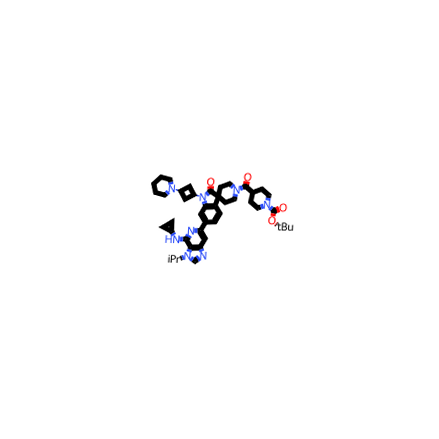 CC(C)n1cnc2cc(-c3ccc4c(c3)N([C@H]3C[C@@H](N5CCCCC5)C3)C(=O)C43CCN(C(=O)C4CCN(C(=O)OC(C)(C)C)CC4)CC3)nc(NC3CC3)c21